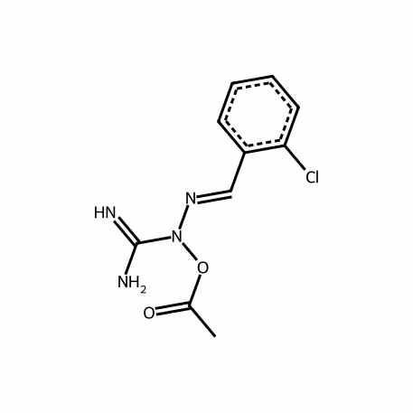 CC(=O)ON(N=Cc1ccccc1Cl)C(=N)N